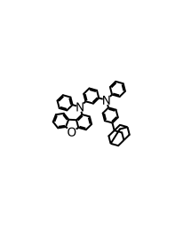 c1ccc(N(c2ccc(C34CC5CC(CC(C5)C3)C4)cc2)c2cccc(N(c3ccccc3)c3cccc4oc5ccccc5c34)c2)cc1